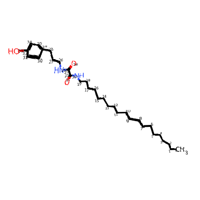 CCCCCCCCCCCCCCCCCCCCNC(=O)C(=O)NCCCc1ccc(O)cc1